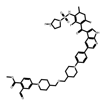 COC(=O)c1ccc(N2CCC(COCC3CCN(c4ccc(-c5cnc6[nH]cc(C(=O)C7=C(F)CC(C)C(NS(=O)(=O)N8CC[C@@H](F)C8)=C7F)c6c5)cc4)CC3)CC2)cc1C=O